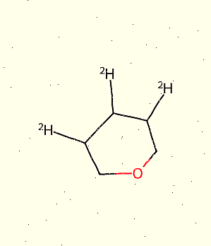 [2H]C1COCC([2H])C1[2H]